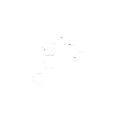 C[C@@H](Nc1cnc2cc(-c3cn[nH]c3)ccc2n1)c1cccc(Cl)c1